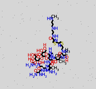 CNCCCCNCCCNC(=O)c1csc(-c2csc(CCNC(=O)[C@@H](NC(=O)[C@@H](C)[C@H](O)[C@@H](C)NC(=O)[C@@H](NC(=O)c3nc([C@H](CC(N)=O)NC[C@H](N)C(N)=O)nc(N)c3C)[C@@H](O[C@@H]3OC(CO)[C@@H](O)C(O)C3O[C@H]3OC(CO)[C@@H](O)C(OC(N)=O)[C@H]3O)c3c[nH]cn3)[C@@H](C)O)n2)n1